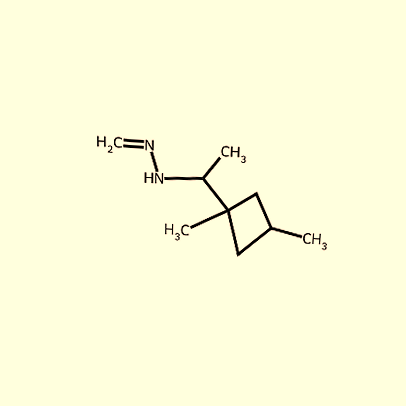 C=NNC(C)C1(C)CC(C)C1